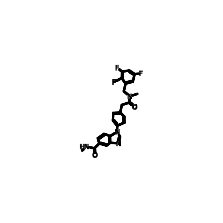 CNC(=O)c1ccc2c(c1)ncn2-c1ccc(CC(=O)N(C)Cc2cc(F)cc(F)c2F)cc1